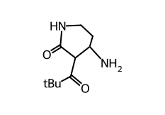 CC(C)(C)C(=O)C1C(=O)NCCC1N